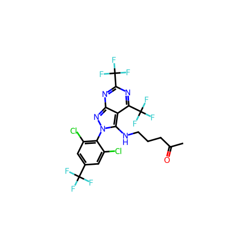 CC(=O)CCCNc1c2c(C(F)(F)F)nc(C(F)(F)F)nc2nn1-c1c(Cl)cc(C(F)(F)F)cc1Cl